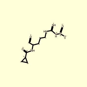 N=C(NCCCC(C=O)NC(=O)C1CC1)N[N+](=O)[O-]